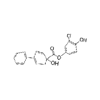 O=C(Oc1ccc(O)c(Cl)c1)C1(O)C=CC(c2ccccc2)=CC1